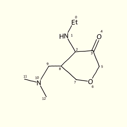 CCNC1C(=O)COCC1CN(C)C